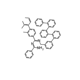 C/C=C\C(=C(C)C)c1ccc(C(/N=C(\N)c2ccccc2)=N/Cc2cccc(-c3ccccc3-c3ccccc3-c3ccccc3-c3ccccc3)c2)cc1C